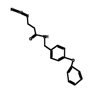 [N-]=[N+]=NCCC(=O)NCc1ccc(Oc2ccccc2)cc1